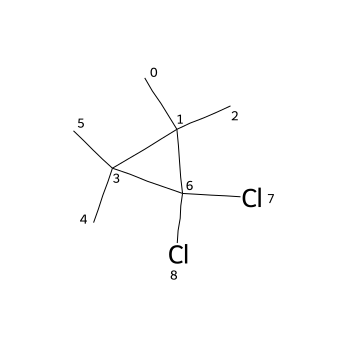 CC1(C)C(C)(C)C1(Cl)Cl